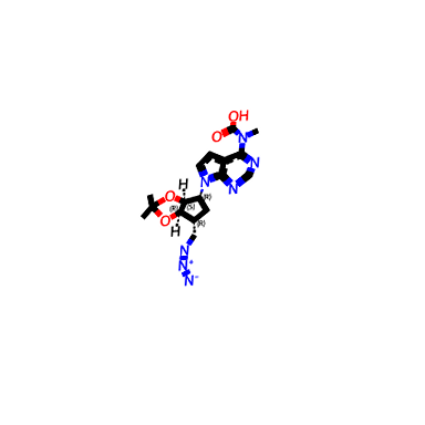 CN(C(=O)O)c1ncnc2c1ccn2[C@@H]1C[C@H](CN=[N+]=[N-])[C@H]2OC(C)(C)O[C@H]21